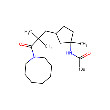 CC1(NC(=O)C(C)(C)C)CCC(CC(C)(C)C(=O)N2CCCCCCC2)C1